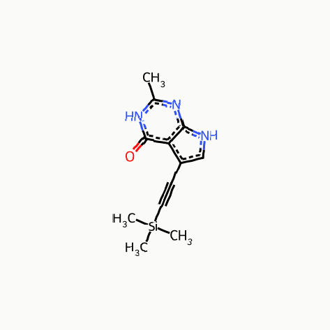 Cc1nc2[nH]cc(C#C[Si](C)(C)C)c2c(=O)[nH]1